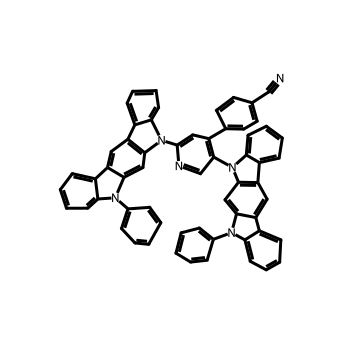 N#Cc1ccc(-c2cc(-n3c4ccccc4c4cc5c6ccccc6n(-c6ccccc6)c5cc43)ncc2-n2c3ccccc3c3cc4c5ccccc5n(-c5ccccc5)c4cc32)cc1